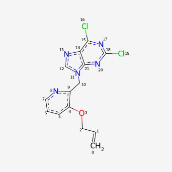 C=CCOc1cccnc1Cn1cnc2c(Cl)nc(Cl)nc21